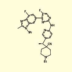 CCN1CCC(C#N)([C@@H](C)c2ccc(Nc3ncc(F)c(-c4cc(F)c5nc(C)n(C(C)C)c5c4)n3)nc2)CC1